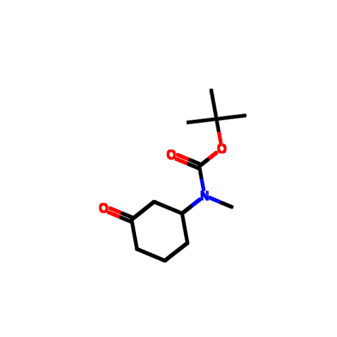 CN(C(=O)OC(C)(C)C)C1CCCC(=O)C1